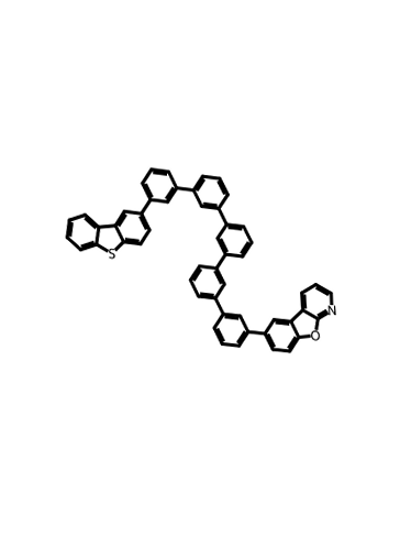 c1cc(-c2cccc(-c3cccc(-c4ccc5oc6ncccc6c5c4)c3)c2)cc(-c2cccc(-c3cccc(-c4ccc5sc6ccccc6c5c4)c3)c2)c1